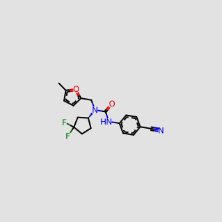 Cc1ccc(CN(C(=O)Nc2ccc(C#N)cc2)[C@H]2CCC(F)(F)C2)o1